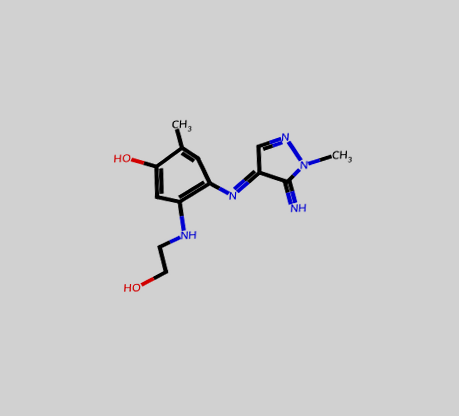 Cc1cc(N=C2C=NN(C)C2=N)c(NCCO)cc1O